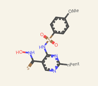 CCCCCc1ncc(C(=S)NO)c(NS(=O)(=O)c2ccc(OC)cc2)n1